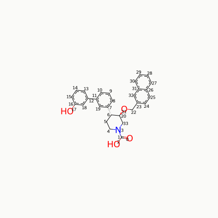 O=C(O)N1CC[C@H](c2cccc(-c3cccc(O)c3)c2)[C@@H](OCc2ccc3ccccc3c2)C1